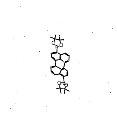 CC1(C)OB(c2ccc3c4cccc5c(B6OC(C)(C)C(C)(C)O6)ccc(c6cccc2c63)c54)OC1(C)C